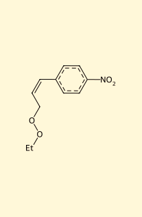 CCOOC/C=C\c1ccc([N+](=O)[O-])cc1